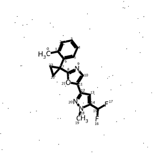 Cc1ccccc1C1(c2ncc(-c3cc(C(F)F)n(C)n3)o2)CC1